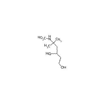 CC(C)(CC(O)CCO)NC(=O)O